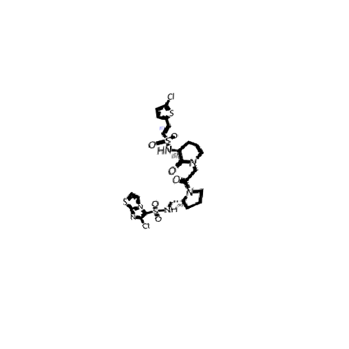 O=C1[C@@H](NS(=O)(=O)/C=C/c2ccc(Cl)s2)CCCN1CC(=O)N1CCC[C@@H]1CNS(=O)(=O)c1c(Cl)nc2sccn12